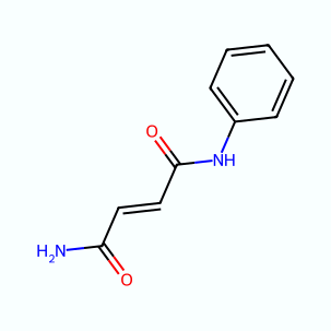 NC(=O)C=CC(=O)Nc1ccccc1